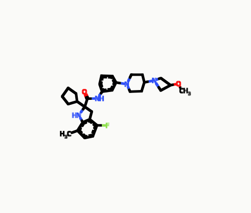 COC1CN(C2CCN(c3cccc(NC(=O)C4(C5CCCC5)Cc5c(F)ccc(C)c5N4)c3)CC2)C1